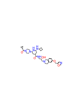 O=C(NC[C@H](O)CN1CCc2cc(OCc3cnco3)ccc2C1)C1CC(NC2CCC2)NC(N2CCN(C(=O)C3CC3)CC2)C1